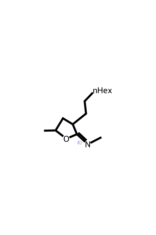 CCCCCCCCC1CC(C)O/C1=N/C